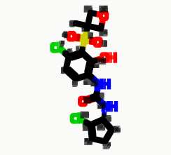 CC1(S(=O)(=O)c2c(Cl)ccc(NC(=O)N[C@@H]3CCC=C3Cl)c2O)COC1